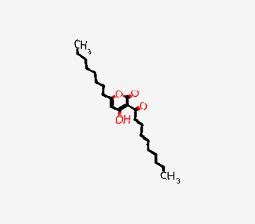 CCCCCCCCCC(=O)c1c(O)cc(CCCCCCCC)oc1=O